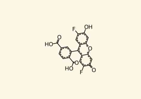 O=C(O)c1ccc(C(=O)O)c(-c2c3cc(F)c(=O)cc-3oc3cc(O)c(F)cc23)c1